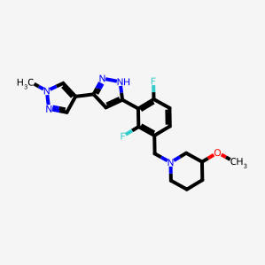 COC1CCCN(Cc2ccc(F)c(-c3cc(-c4cnn(C)c4)n[nH]3)c2F)C1